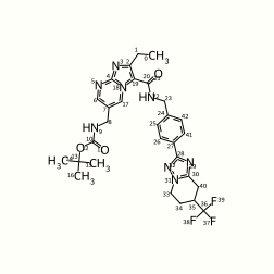 CCc1nc2ncc(CNC(=O)OC(C)(C)C)cn2c1C(=O)NCc1ccc(-c2nc3n(n2)CCC(C(F)(F)F)C3)cc1